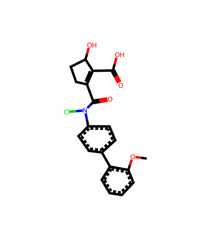 COc1ccccc1-c1ccc(N(Cl)C(=O)C2=C(C(=O)O)C(O)CC2)cc1